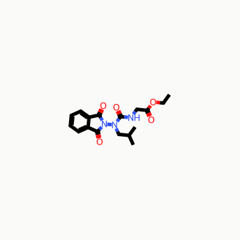 CCOC(=O)CNC(=O)N(CC(C)C)N1C(=O)c2ccccc2C1=O